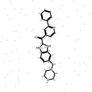 O=C(c1ccnc(-c2ccccc2)c1)C1Nc2ccc(CN3CCOCC3)cc2N1